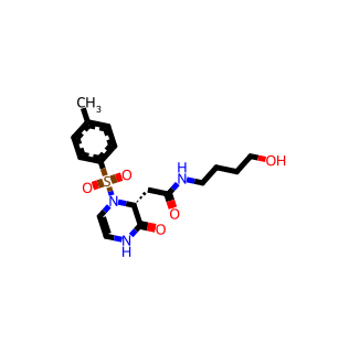 Cc1ccc(S(=O)(=O)N2C=CNC(=O)[C@H]2CC(=O)NCCCCO)cc1